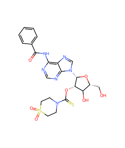 O=C(Nc1ncnc2c1ncn2[C@@H]1O[C@H](CO)C(O)[C@@H]1OC(=S)N1CCS(=O)(=O)CC1)c1ccccc1